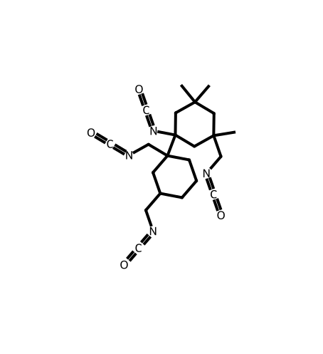 CC1(C)CC(C)(CN=C=O)CC(N=C=O)(C2(CN=C=O)CCCC(CN=C=O)C2)C1